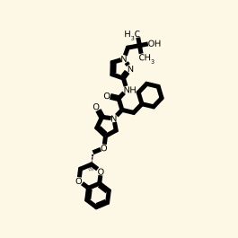 CC(C)(O)Cn1ccc(NC(=O)C(CC2CCCCC2)N2CC(OC[C@H]3COc4ccccc4O3)=CC2=O)n1